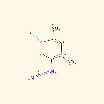 [N-]=[N+]=Nc1cc(F)c([N+](=O)[O-])cc1[N+](=O)[O-]